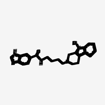 CCn1c2c(c3ccccc31)CCN(CCCCNC(=O)c1ccc3nc[nH]c3c1)C2